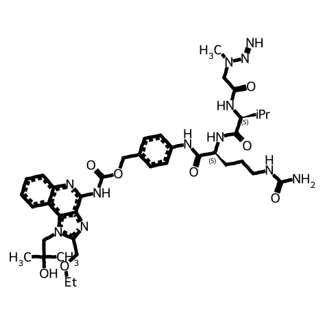 CCOCc1nc2c(NC(=O)OCc3ccc(NC(=O)[C@H](CCCNC(N)=O)NC(=O)[C@@H](NC(=O)CN(C)N=N)C(C)C)cc3)nc3ccccc3c2n1CC(C)(C)O